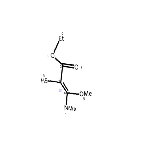 CCOC(=O)/C(S)=C(/NC)OC